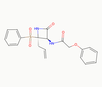 C=CC[C@]1(S(=O)(=O)c2ccccc2)NC(=O)[C@H]1NC(=O)COc1ccccc1